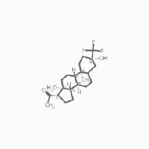 CC(=O)[C@H]1CC[C@H]2[C@@H]3CCC4C[C@](O)(C(F)(F)F)CC[C@]4(C)[C@H]3CC[C@]12C